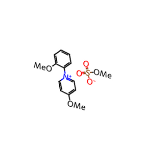 COS(=O)(=O)[O-].COc1cc[n+](-c2ccccc2OC)cc1